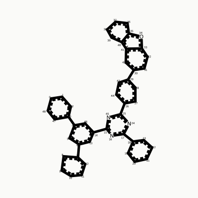 c1ccc(-c2cc(-c3ccccc3)cc(-c3nc(-c4ccccc4)nc(-c4ccc(-c5ccc6oc7ccccc7c6c5)cc4)n3)c2)cc1